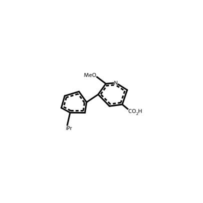 COc1ncc(C(=O)O)cc1-c1cccc(C(C)C)c1